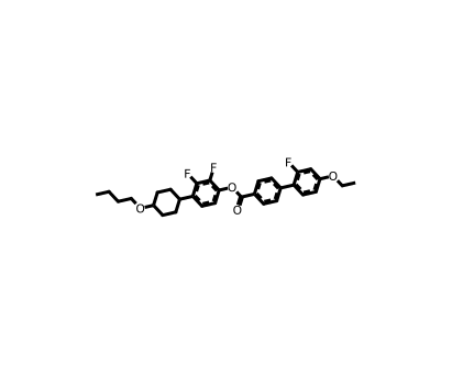 CCCCOC1CCC(c2ccc(OC(=O)c3ccc(-c4ccc(OCC)cc4F)cc3)c(F)c2F)CC1